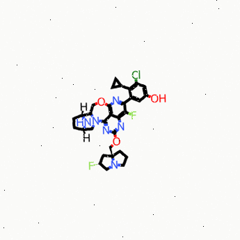 Oc1cc(Cl)c(C2CC2)c(-c2nc3c4c(nc(OC[C@@]56CCCN5C[C@H](F)C6)nc4c2F)N2C[C@@H]4CC[C@@H](N4)C2CO3)c1